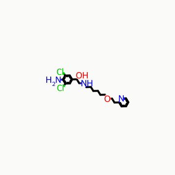 Nc1c(Cl)cc(C(O)CNCCCCCCOCCc2ccccn2)cc1Cl